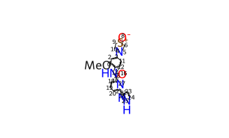 COc1cc(N2CC[S+]([O-])CC2)ccc1NC(=O)c1cccc(-c2cc[nH]n2)n1